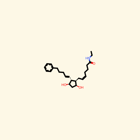 CCNC(=O)CCC/C=C\C[C@@H]1[C@@H](/C=C/CCCc2ccccc2)[C@H](O)C[C@@H]1O